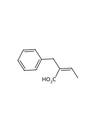 C/C=C(/Cc1ccccc1)C(=O)O